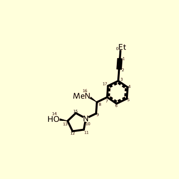 CCC#Cc1cccc([C@@H](CN2CC[C@@H](O)C2)NC)c1